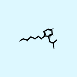 CCCCCC[CH]c1ccccc1CC(C)C